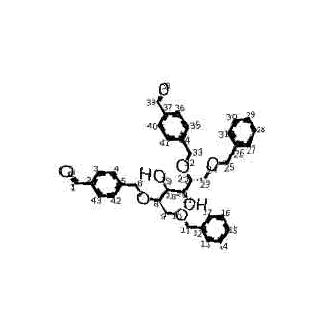 O=Cc1ccc(CO[C@H](COCc2ccccc2)[C@@H](O)[C@H](O)[C@@H](COCc2ccccc2)OCc2ccc(C=O)cc2)cc1